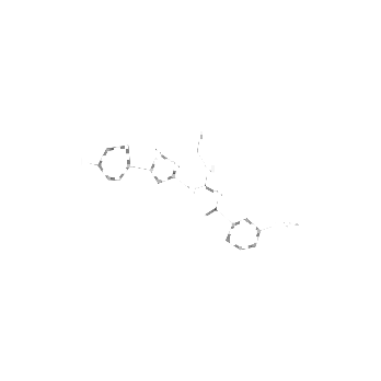 CSc1cccc(C(=O)/N=C(/NCC(C)C)Nc2cc(-c3ccc(F)cc3)n[nH]2)c1